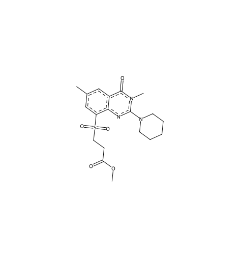 COC(=O)CCS(=O)(=O)c1cc(C)cc2c(=O)n(C)c(N3CCCCC3)nc12